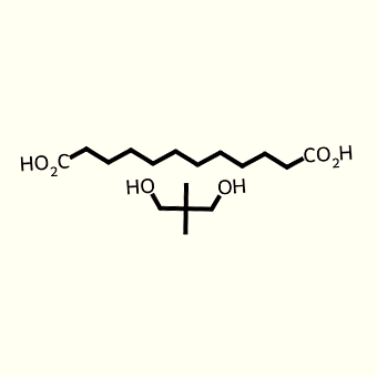 CC(C)(CO)CO.O=C(O)CCCCCCCCCCC(=O)O